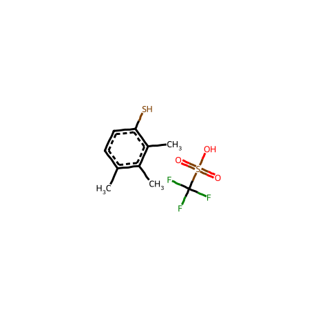 Cc1ccc(S)c(C)c1C.O=S(=O)(O)C(F)(F)F